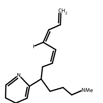 C=C/C=C(I)\C=C/CC(CCCNC)C1=CCCC=N1